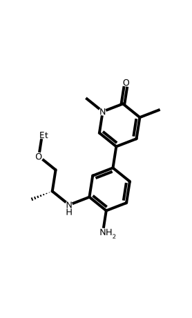 CCOC[C@@H](C)Nc1cc(-c2cc(C)c(=O)n(C)c2)ccc1N